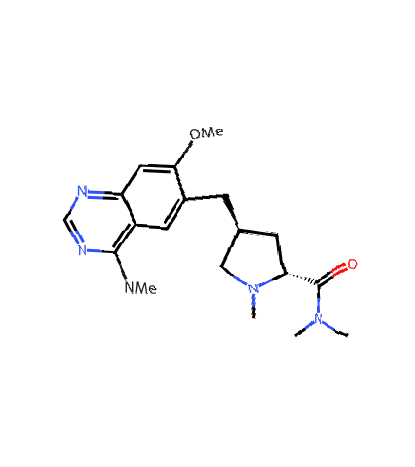 CNc1ncnc2cc(OC)c(C[C@H]3C[C@H](C(=O)N(C)C)N(C)C3)cc12